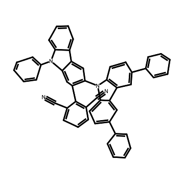 N#Cc1cccc(C#N)c1-c1cc2c(cc1-n1c3ccc(-c4ccccc4)cc3c3cc(-c4ccccc4)ccc31)c1ccccc1n2-c1ccccc1